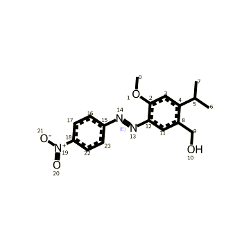 COc1cc(C(C)C)c(CO)cc1/N=N/c1ccc([N+](=O)[O-])cc1